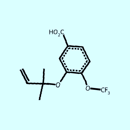 C=CC(C)(C)Oc1cc(C(=O)O)ccc1OC(F)(F)F